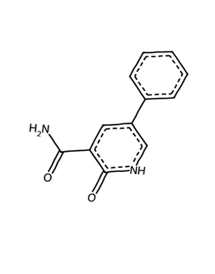 NC(=O)c1cc(-c2ccccc2)c[nH]c1=O